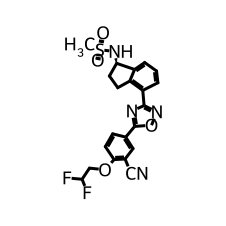 CS(=O)(=O)N[C@@H]1CCc2c(-c3noc(-c4ccc(OCC(F)F)c(C#N)c4)n3)cccc21